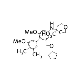 COc1cc(-c2c(COC3CCCC3)cc(NC3(C(=O)O)CCOCC3)cc2OC)cc(C)c1C